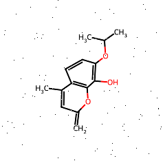 C=C1C=C(C)c2ccc(OC(C)C)c(O)c2O1